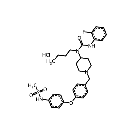 CCCCN(C(=O)Nc1ccccc1F)C1CCN(Cc2ccc(Oc3ccc(NS(C)(=O)=O)cc3)cc2)CC1.Cl